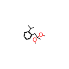 COC(C)(Cc1ccccc1C(C)C)OC